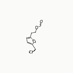 O=COCCc1ccc(CCl)o1